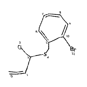 C=CC(Cl)Sc1ccccc1Br